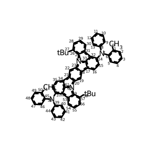 Cc1ccccc1N(c1ccccc1)c1ccc2c3cc4c(cc3n3c5c(C(C)(C)C)cccc5c1c23)c1ccc(N(c2ccccc2)c2ccccc2C)c2c3cccc(C(C)(C)C)c3n4c12